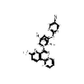 Cc1ccc(-c2ncccn2)c(C(=O)N2C[C@H]3C[C@@H](Oc4ncc(Cl)cn4)[C@@H]2C3)n1